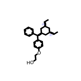 C/C=C1/CC(=C(c2ccccc2)c2ccc(OCCO)cc2)C/C(=C/C)C1